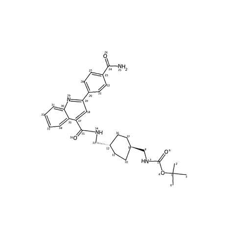 CC(C)(C)OC(=O)NC[C@H]1CC[C@H](CNC(=O)c2cc(-c3ccc(C(N)=O)cc3)nc3ccccc23)CC1